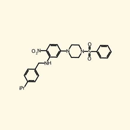 CC(C)c1ccc(CNc2cc(N3CCN(S(=O)(=O)c4ccccc4)CC3)ccc2[N+](=O)[O-])cc1